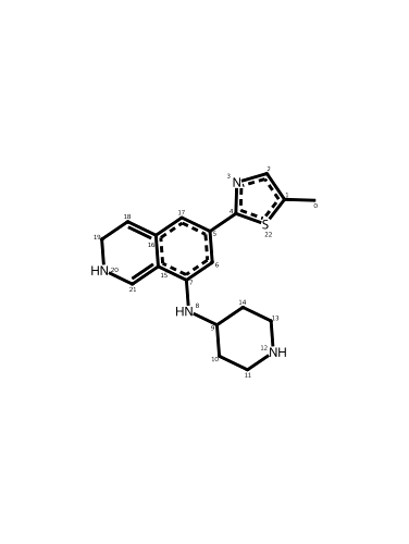 Cc1cnc(-c2cc(NC3CCNCC3)c3c(c2)=CCNC=3)s1